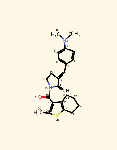 C=C1/C(=C/c2ccc(N(C)C)cc2)CCN1C(=O)c1c(C)sc2c1CCCC2